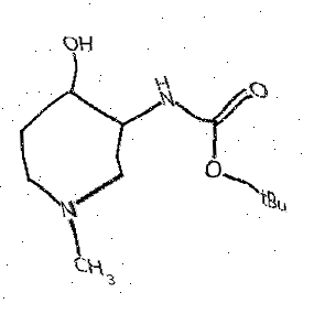 CN1CCC(O)C(NC(=O)OC(C)(C)C)C1